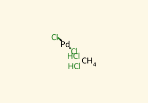 C.Cl.Cl.[Cl][Pd][Cl]